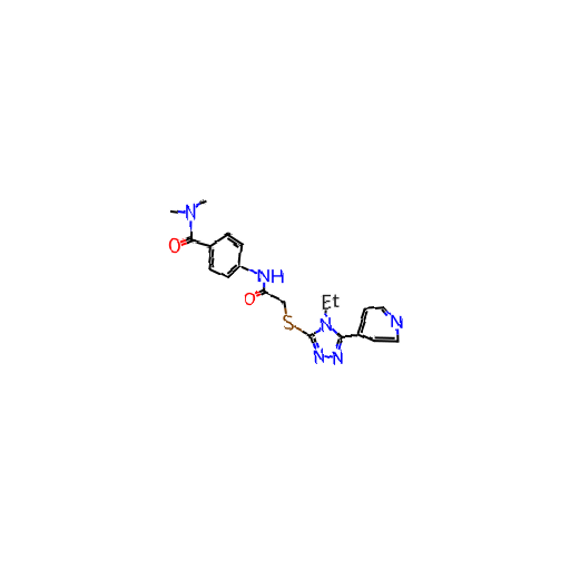 CCn1c(SCC(=O)Nc2ccc(C(=O)N(C)C)cc2)nnc1-c1ccncc1